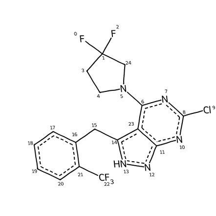 FC1(F)CCN(c2nc(Cl)nc3n[nH]c(Cc4ccccc4C(F)(F)F)c23)C1